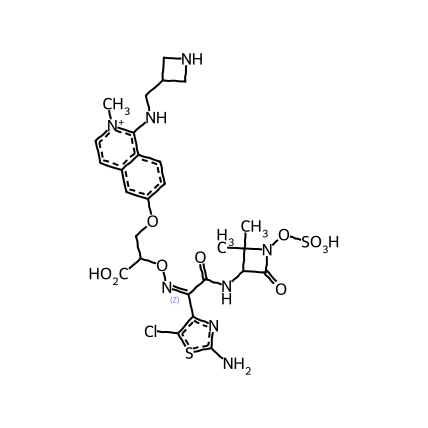 C[n+]1ccc2cc(OCC(O/N=C(\C(=O)NC3C(=O)N(OS(=O)(=O)O)C3(C)C)c3nc(N)sc3Cl)C(=O)O)ccc2c1NCC1CNC1